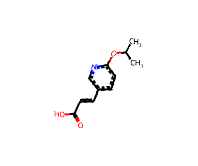 CC(C)Oc1ccc(/C=C/C(=O)O)cn1